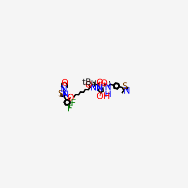 Cc1ncsc1-c1ccc([C@H](C)NC(=O)[C@@H]2C[C@@H](O)CN2C(=O)C(NC(=O)CCCCCCCOc2c(-c3csc(N4CCOCC4)n3)ccc(F)c2F)C(C)(C)C)cc1